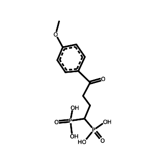 COc1ccc(C(=O)CCC(P(=O)(O)O)P(=O)(O)O)cc1